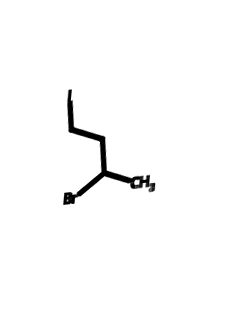 CC(Br)CCI